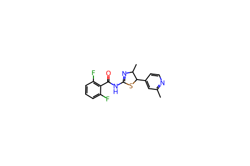 Cc1cc(C2SC(NC(=O)c3c(F)cccc3F)=NC2C)ccn1